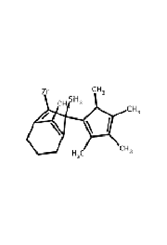 CC1=C(C)C(C)C(C2([SiH3])[C]([Zr])=C3CCCC2=C3C)=C1C